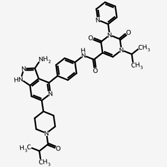 CC(C)C(=O)N1CCC(c2cc3[nH]nc(N)c3c(-c3ccc(NC(=O)c4cn(C(C)C)c(=O)n(-c5ccccn5)c4=O)cc3)n2)CC1